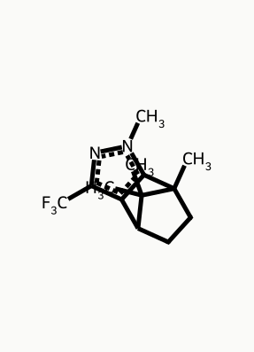 Cn1nc(C(F)(F)F)c2c1C1(C)CCC2C1(C)C